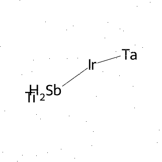 [SbH2][Ir][Ta].[Ti]